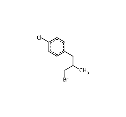 CC(CBr)Cc1ccc(Cl)cc1